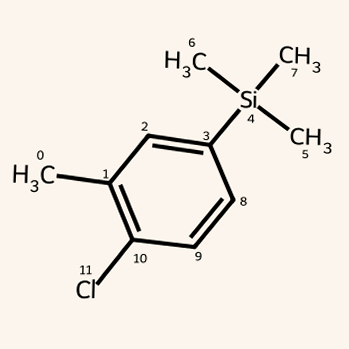 Cc1cc([Si](C)(C)C)ccc1Cl